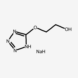 OCCOc1nnn[nH]1.[NaH]